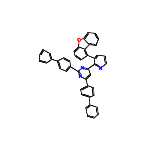 c1ccc(-c2ccc(-c3cc(-c4ncccc4-c4cccc5oc6ccccc6c45)nc(-c4ccc(-c5ccccc5)cc4)n3)cc2)cc1